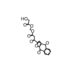 O=C(CO)OCOC(=O)CC(=O)c1cc2c(o1)C(=O)c1ccccc1C2=O